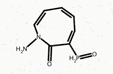 NN1C=CC=CC=C([PH2]=O)C1=O